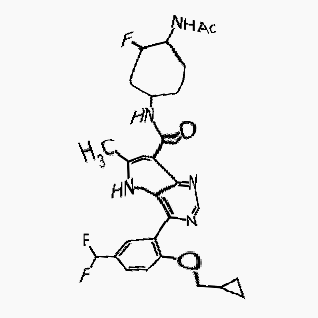 CC(=O)NC1CCC(NC(=O)c2c(C)[nH]c3c(-c4cc(C(F)F)ccc4OCC4CC4)ncnc23)CC1F